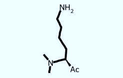 CC(=O)[C@H](CCCCN)N(C)C